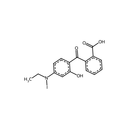 CCN(I)c1ccc(C(=O)c2ccccc2C(=O)O)c(O)c1